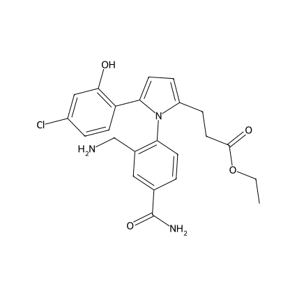 CCOC(=O)CCc1ccc(-c2ccc(Cl)cc2O)n1-c1ccc(C(N)=O)cc1CN